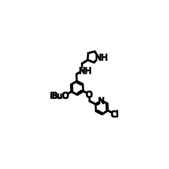 CC(C)COc1cc(CNCC2CCNC2)cc(OCc2ccc(Cl)cn2)c1